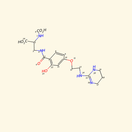 O=C(O)NC(CNC(=O)c1ccc(OCCNC2=NCCCN2)cc1O)C(=O)O